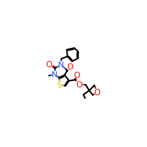 CCC1(COC(=O)c2csc3c2c(=O)n(Cc2ccccc2)c(=O)n3C)COC1